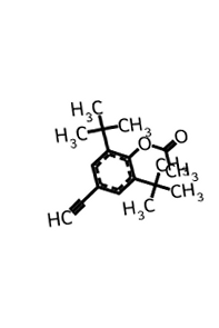 C#Cc1cc(C(C)(C)C)c(OC(C)=O)c(C(C)(C)C)c1